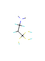 CN(C)C(F)(F)C(F)C(SF)(SF)SF